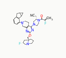 C=C(F)C(=O)N1CCN(c2nc(OC[C@@]34CCCN3C[C@H](F)C4)nc3c2CCN(c2cccc4c2C2CC2C4)C3)C[C@@H]1CC#N